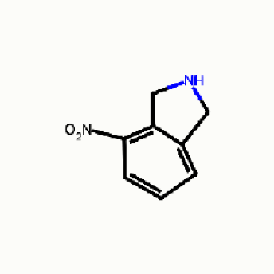 O=[N+]([O-])c1cccc2c1CNC2